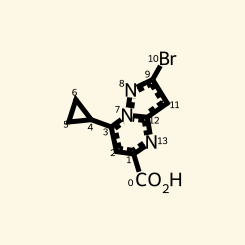 O=C(O)c1cc(C2CC2)n2nc(Br)cc2n1